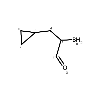 BC(C=O)CC1CC1